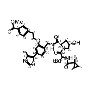 COC(=O)c1ccc(CCOc2cc(-c3scnc3C)ccc2CNC(=O)[C@@H]2C[C@@H](O)CN2C(=O)[C@@H](NC(=O)C2(F)CC2)C(C)(C)C)cc1